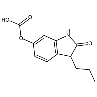 CCCC1C(=O)Nc2cc(OC(=O)O)ccc21